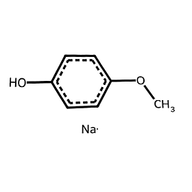 COc1ccc(O)cc1.[Na]